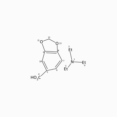 CCN(CC)CC.O=C(O)c1ccc2c(c1)OCO2